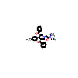 Cc1ccc([C@@H]2[C@@H](C(=O)c3ccccc3)CN(CC(=O)N(C)C)C[C@H]2C(=O)c2ccccc2)cc1